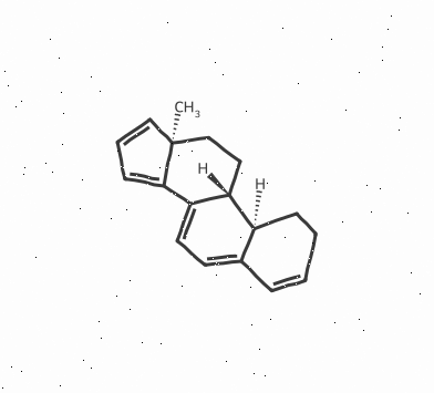 C[C@@]12C=CC=C1C1=CC=C3C=CCC[C@@H]3[C@H]1CC2